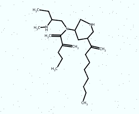 C=C(CCC)C(=C)N(CC(CC)NC)C1CNCC(C(=C)CCCCCCC)C1